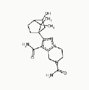 CC1(C)C2CCC1(c1nn3c(c1C(N)=O)CN(C(N)=O)CC3)CC2O